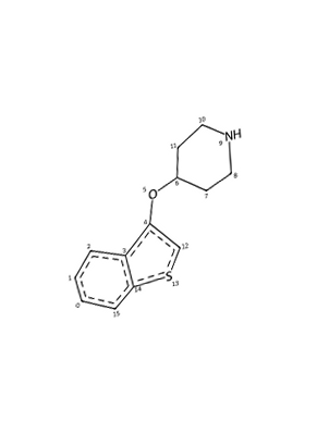 c1ccc2c(OC3CCNCC3)csc2c1